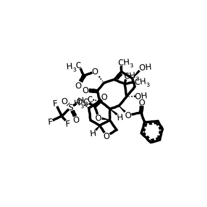 CC(=O)O[C@H]1C(=O)[C@]2(C)[C@@H](OS(=O)(=O)C(F)(F)F)C[C@H]3OC[C@@]3(OC(C)=O)[C@H]2[C@H](OC(=O)c2ccccc2)[C@]2(O)C[C@H](O)C(C)=C1C2(C)C